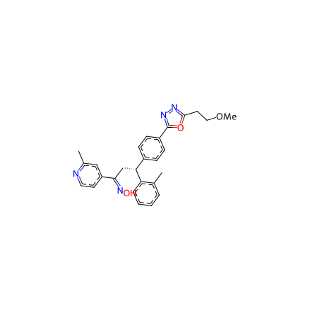 COCCc1nnc(-c2ccc([C@@H](C/C(=N\O)c3ccnc(C)c3)c3ccccc3C)cc2)o1